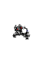 CC[C@@H]1C[C@H](C)CC/C=C\[C@@H]2C[C@@]2(C(=O)NS(=O)(=O)C2CC2)NC(=O)[C@@H]2C[C@@H](Oc3cc(-c4ccc(C(F)(F)F)cc4)nc(-c4nccs4)c3)CN2C(=O)[C@H]1N(C(=O)O)C(C)(C)C(F)(F)F